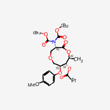 COc1ccc(O[C@H]2COC[C@H](N(C(=O)OC(C)(C)C)C(=O)OC(C)(C)C)C(=O)O[C@@H](C)[C@@H]2OC(=O)C(C)C)cc1